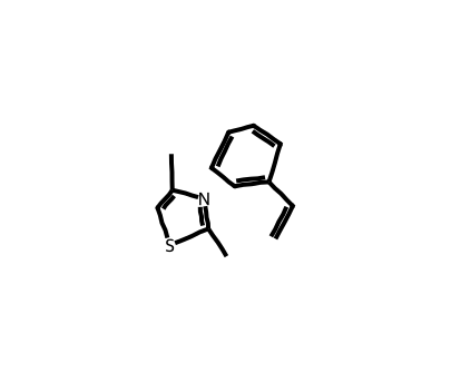 C=Cc1ccccc1.Cc1csc(C)n1